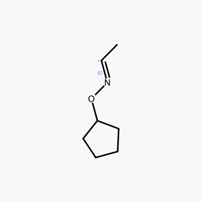 C/[C]=N/OC1CCCC1